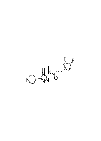 O=C(CCc1ccc(F)c(F)c1)Nc1nnc(-c2ccncc2)[nH]1